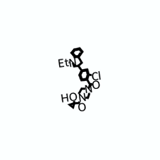 CCN1CC(c2ccc(C(=O)N3CCN(C(=O)C4(O)CC4)CC3)c(Cl)c2)Cc2ccccc21